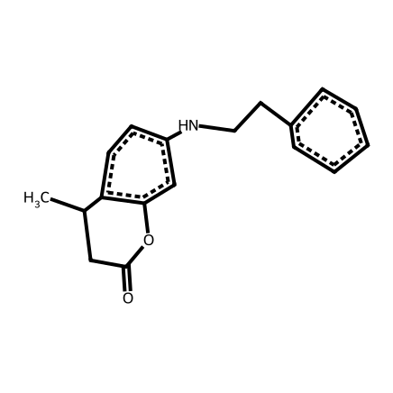 CC1CC(=O)Oc2cc(NCCc3ccccc3)ccc21